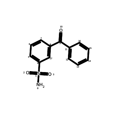 NS(=O)(=O)c1cccc(C(=O)c2ccccc2)c1